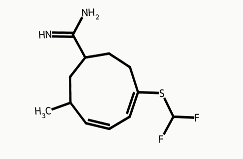 CC1/C=C\C=C(\SC(F)F)CCC(C(=N)N)C1